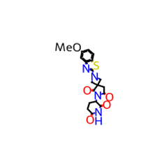 COc1ccc2sc(N3CC4(CC(=O)N(C5CCC(=O)NC5=O)C4=O)C3)nc2c1